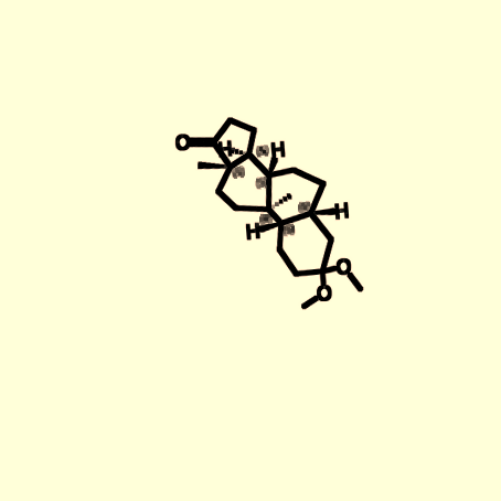 COC1(OC)CC[C@H]2[C@H](CC[C@H]3[C@@H]4CCC(=O)[C@@]4(C)CC[C@]23C)C1